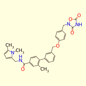 Cc1cc(C(=O)NCc2ccc(C)n2C)ccc1-c1cccc(COc2ccc(Cn3oc(=O)[nH]c3=O)cc2)c1